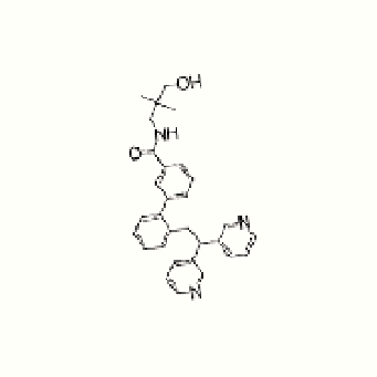 CC(C)(CO)CNC(=O)c1cccc(-c2ccccc2CC(c2cccnc2)c2cccnc2)c1